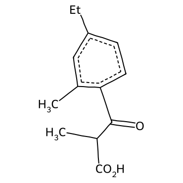 CCc1ccc(C(=O)C(C)C(=O)O)c(C)c1